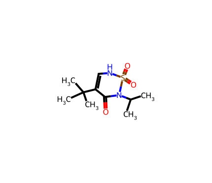 CC(C)N1C(=O)C(C(C)(C)C)=CNS1(=O)=O